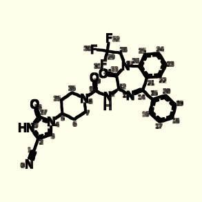 N#Cc1cn(C2CCN(C(=O)N[C@@H]3N=C(c4ccccc4)c4ccccc4N(CC(F)(F)F)C3=O)CC2)c(=O)[nH]1